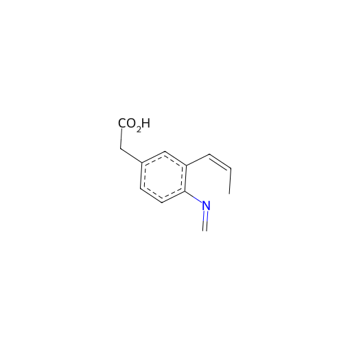 C=Nc1ccc(CC(=O)O)cc1/C=C\C